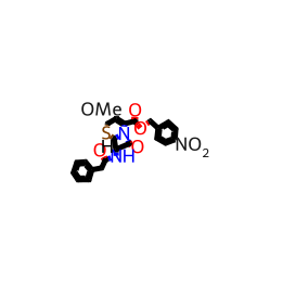 COC1=C(C(=O)OCc2ccc([N+](=O)[O-])cc2)N2C(=O)C(NC(=O)Cc3ccccc3)[C@H]2SC1